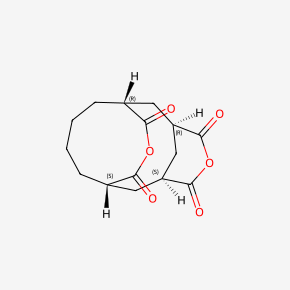 O=C1OC(=O)[C@H]2C[C@@H]1C[C@@H]1CCCC[C@H](C2)C(=O)OC1=O